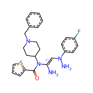 N/C(=C\N(N)c1ccc(F)cc1)N(C(=O)c1cccs1)C1CCN(Cc2ccccc2)CC1